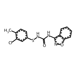 Cc1ccc(SNC(=O)Nc2noc3ccccc23)cc1Cl